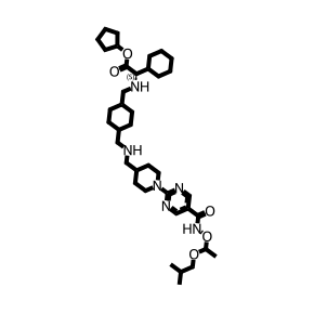 CC(C)COC(C)ONC(=O)c1cnc(N2CCC(CNCC3CCC(CN[C@H](C(=O)OC4CCCC4)C4CCCCC4)CC3)CC2)nc1